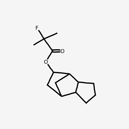 CC(C)(F)C(=O)OC1CC2CC1C1CCCC21